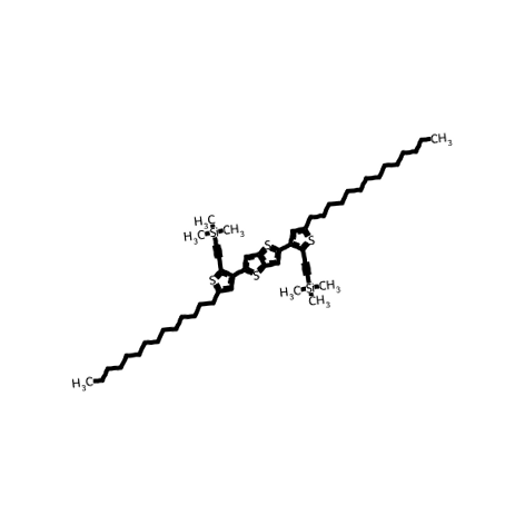 CCCCCCCCCCCCCCc1cc(-c2cc3sc(-c4cc(CCCCCCCCCCCCCC)sc4C#C[Si](C)(C)C)cc3s2)c(C#C[Si](C)(C)C)s1